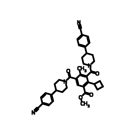 COC(=O)c1cc(C(=O)N2CCC(c3ccc(C#N)cc3)CC2)c(C)c(C(=O)N2CCC(c3ccc(C#N)cc3)CC2)c1C1CCC1